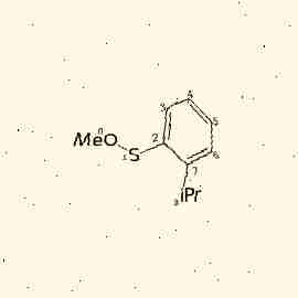 COSc1ccccc1C(C)C